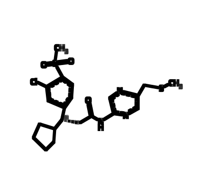 CSCc1cnc(NC(=O)C[C@@H](c2ccc(S(C)(=O)=O)c(Cl)c2)C2CCCC2)cn1